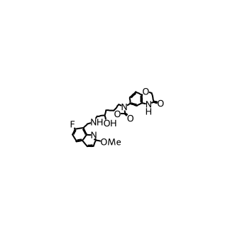 COc1ccc2ccc(F)c(CNCC(O)CC3CN(c4ccc5c(c4)NC(=O)CO5)C(=O)O3)c2n1